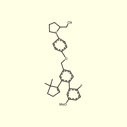 COc1ccc(F)c(-c2ccc(COc3ccc(N4CCCC4CC#N)cc3)cc2C2=CCCC2(C)C)c1